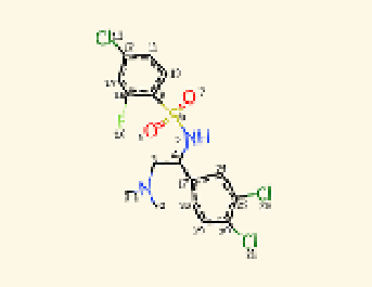 CN(C)CC(NS(=O)(=O)c1ccc(Cl)cc1F)c1ccc(Cl)c(Cl)c1